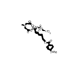 COc1ccc(C(=O)OCCCC/C=C/C(NS(=O)(=O)OCC(Cl)(Cl)Cl)B2OC(=O)CN(C)CC(=O)O2)cc1